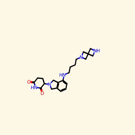 O=C1CCC(N2Cc3cccc(NCCCCN4CC5(CNC5)C4)c3C2)C(=O)N1